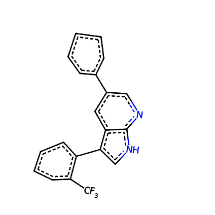 FC(F)(F)c1ccccc1-c1c[nH]c2ncc(-c3ccccc3)cc12